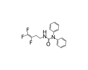 O=C(NCCC(F)=C(F)F)N(c1ccccc1)c1ccccc1